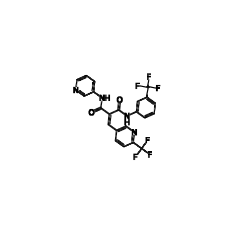 O=C(Nc1cccnc1)C(=Cc1ccc(C(F)(F)F)nc1)C(=O)Nc1cccc(C(F)(F)F)c1